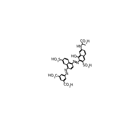 CC(Nc1ccc2cc(S(=O)(=O)O)c(/N=N/c3ccc(/N=N/c4cc(C(=O)O)cc(C(=O)O)c4)c4cc(S(=O)(=O)O)ccc34)c(O)c2c1)C(=O)O